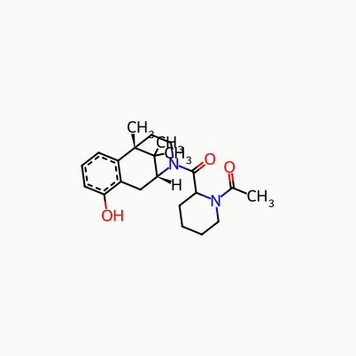 CC(=O)N1CCCCC1C(=O)N1CC[C@@]2(C)c3cccc(O)c3C[C@@H]1C2(C)C